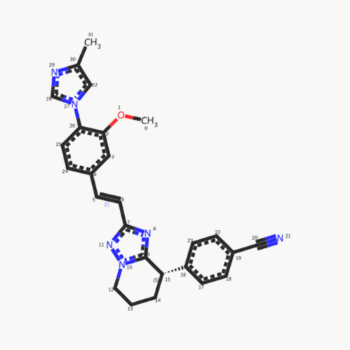 COc1cc(/C=C/c2nc3n(n2)CCC[C@H]3c2ccc(C#N)cc2)ccc1-n1cnc(C)c1